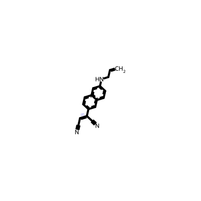 C=CCNc1ccc2cc(/C(C#N)=C/C#N)ccc2c1